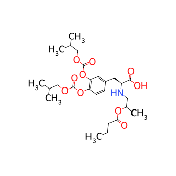 CCCC(=O)OC(C)CN[C@@H](Cc1ccc(OC(=O)OCC(C)C)c(OC(=O)OCC(C)C)c1)C(=O)O